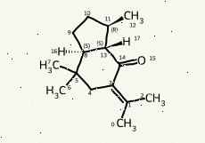 CC(C)=C1CC(C)(C)[C@H]2CC[C@@H](C)[C@@H]2C1=O